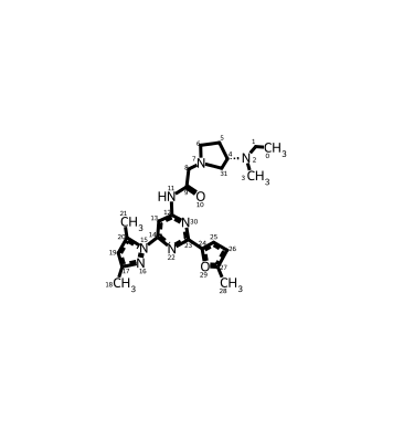 CCN(C)[C@H]1CCN(CC(=O)Nc2cc(-n3nc(C)cc3C)nc(-c3ccc(C)o3)n2)C1